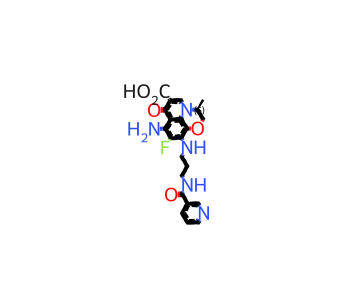 C[C@H]1COc2c(NCCCNC(=O)c3cccnc3)c(F)c(N)c3c(=O)c(C(=O)O)cn1c23